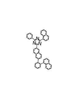 c1ccc(-c2nc(-c3ccc4cc(-c5ccccc5-c5cccc6ccccc56)ccc4c3)nc(-c3cccc4ccccc34)n2)cc1